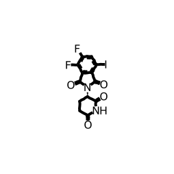 O=C1CC[C@H](N2C(=O)c3c(I)cc(F)c(F)c3C2=O)C(=O)N1